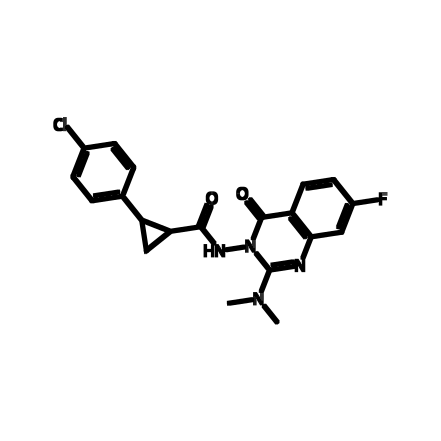 CN(C)c1nc2cc(F)ccc2c(=O)n1NC(=O)C1CC1c1ccc(Cl)cc1